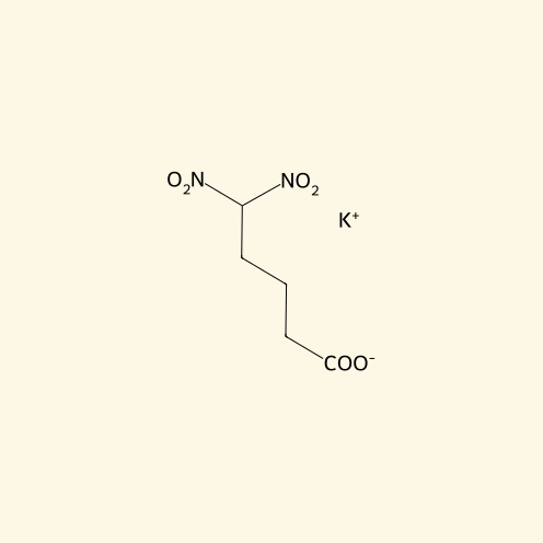 O=C([O-])CCCC([N+](=O)[O-])[N+](=O)[O-].[K+]